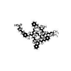 CN(C)CCCC[C@H](NC(=O)[C@H](CO)CC(=O)OCc1ccccc1)C(=O)N[C@@H](CCC(=O)O)C(=O)NC(Cc1ccc(O)cc1)C(=O)C[C@@H](Cc1ccccc1)C(=O)N[C@@H](CO)C(=O)C[C@@H](CCCCN)C(=O)Nc1ccc2nc(C3=N[C@@H](C(=O)O)CS3)sc2c1